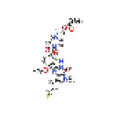 CCCOc1ccc(S(=O)(=O)N2CCN(CCOC(=O)OC)CC2)cc1-c1nc2c(CCCF)cn(CC)c2c(=O)[nH]1